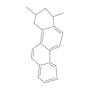 CC1Cc2c(ccc3c2ccc2ccccc23)C(C)C1